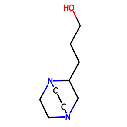 OCCCC1CN2CCN1CC2